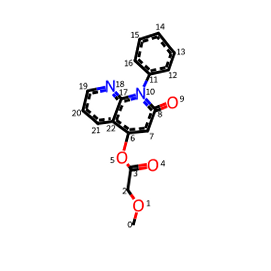 COCC(=O)Oc1cc(=O)n(-c2ccccc2)c2ncccc12